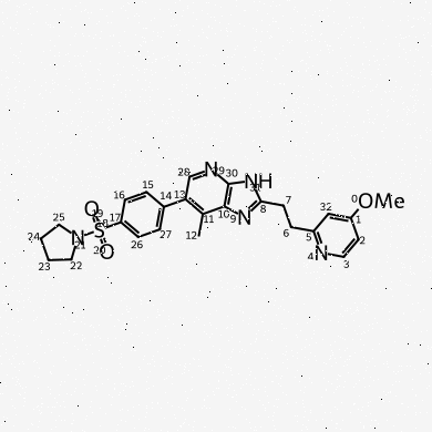 COc1ccnc(CCc2nc3c(C)c(-c4ccc(S(=O)(=O)N5CCCC5)cc4)cnc3[nH]2)c1